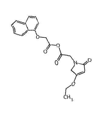 CCOC1=CC(=O)N(CC(=O)OC(=O)COc2cccc3ccccc23)C1